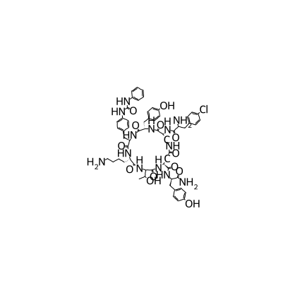 CC(O)C1NC(=O)[C@H](CCCCN)NC(=O)[C@@H](Cc2ccc(NC(=O)Nc3ccccc3)cc2)NC(=O)[C@H](Cc2ccc(O)cc2)NC(=O)[C@H](NC(=O)[C@@H](N)Cc2ccc(Cl)cc2)CNC(=O)C[C@@H](C(=O)N[C@H](Cc2ccc(O)cc2)C(N)=O)NC1=O